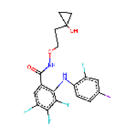 O=C(NOCCC1(O)CC1)c1cc(F)c(F)c(F)c1Nc1ccc(I)cc1F